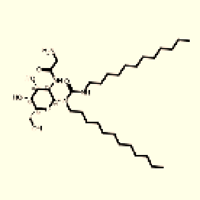 CCCCCCCCCCCCNC(=O)N(CCCCCCCCCCCC)[C@@H]1O[C@H](CO)[C@H](O)[C@H](O)[C@H]1NC(=O)CN